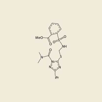 COC(=O)c1ccccc1S(=O)(=O)NCSc1nc(C(C)C)nn1C(=O)N(C)C